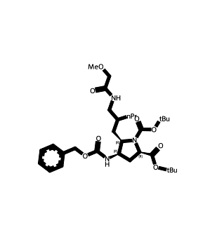 CCCC(CNC(=O)COC)C[C@@H]1[C@H](NC(=O)OCc2ccccc2)C[C@H](C(=O)OC(C)(C)C)N1C(=O)OC(C)(C)C